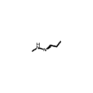 CCC=NNC